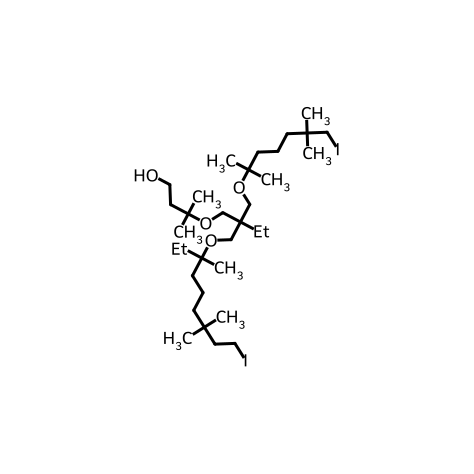 CCC(COC(C)(C)CCO)(COC(C)(C)CCCC(C)(C)CI)COC(C)(CC)CCCC(C)(C)CCI